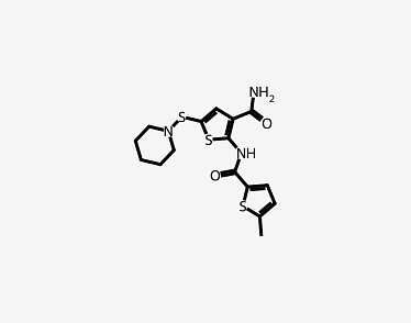 Cc1ccc(C(=O)Nc2sc(SN3CCCCC3)cc2C(N)=O)s1